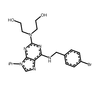 CC(C)n1cnc2c(NCc3ccc(Br)cc3)nc(N(CCO)CCO)nc21